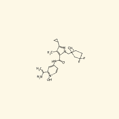 C=C(N)c1cc(NC(=O)c2c(C(F)(F)F)c(C3CC3)nn2CC2(C)CCC(F)(F)C2)cc[n+]1O